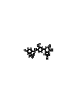 COc1cc(C2CC(=O)Nc3n[nH]cc32)ccc1OCc1ccc(C)cc1C(F)(F)F